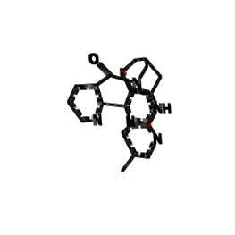 Cc1ccc(NC2CC3CCC2N(C(=O)c2cccnc2-c2ncccc2F)C3)nc1